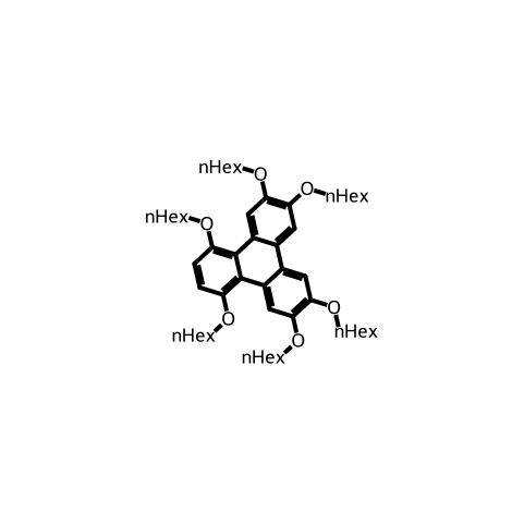 CCCCCCOc1cc2c3cc(OCCCCCC)c(OCCCCCC)cc3c3c(OCCCCCC)ccc(OCCCCCC)c3c2cc1OCCCCCC